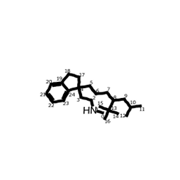 CNCCC1(CCCC(CC(C)C)C(C)(C)C)CCc2ccccc21